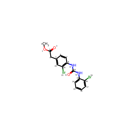 COC(=O)Cc1ccc(NC(=O)Nc2ccccc2Br)c(Br)c1